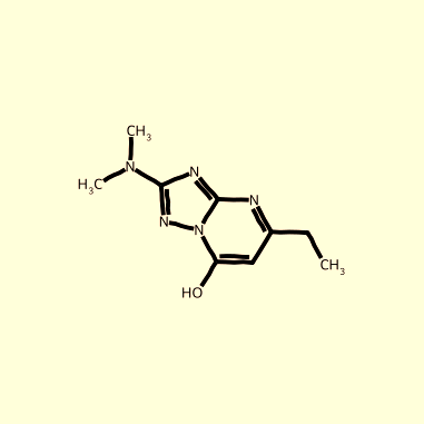 CCc1cc(O)n2nc(N(C)C)nc2n1